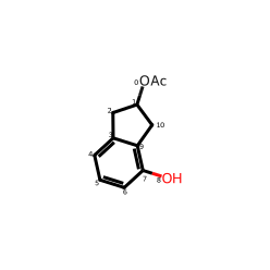 CC(=O)OC1Cc2cccc(O)c2C1